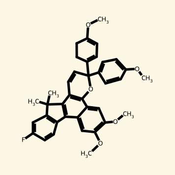 COC1=CC=C(C2(c3ccc(OC)cc3)C=Cc3c4c(c5cc(OC)c(OC)cc5c3O2)-c2ccc(F)cc2C4(C)C)CC1